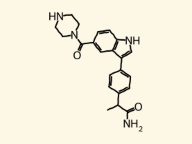 CC(C(N)=O)c1ccc(-c2c[nH]c3ccc(C(=O)N4CCNCC4)cc23)cc1